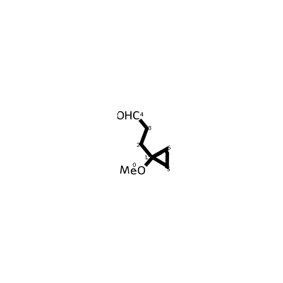 COC1(CCC=O)CC1